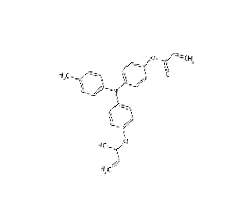 C=CC(=O)Oc1ccc(N(c2ccc(C)cc2)c2ccc(OC(O)C=C)cc2)cc1